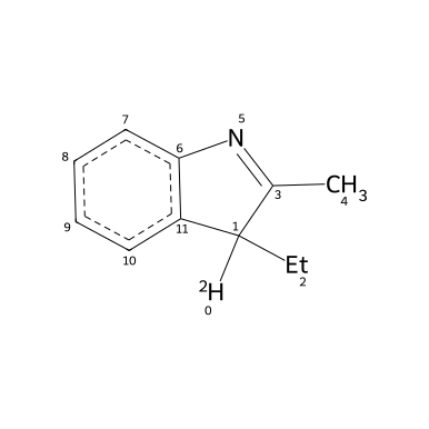 [2H]C1(CC)C(C)=Nc2ccccc21